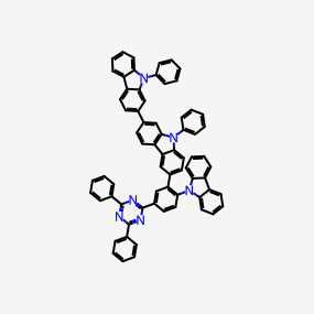 c1ccc(-c2nc(-c3ccccc3)nc(-c3ccc(-n4c5ccccc5c5ccccc54)c(-c4ccc5c(c4)c4ccc(-c6ccc7c8ccccc8n(-c8ccccc8)c7c6)cc4n5-c4ccccc4)c3)n2)cc1